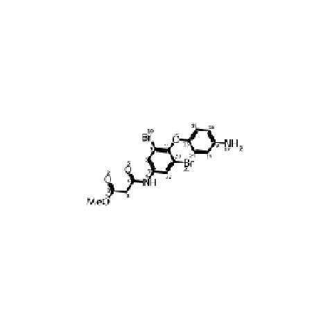 COC(=O)CC(=O)Nc1cc(Br)c(Oc2ccc(N)cc2)c(Br)c1